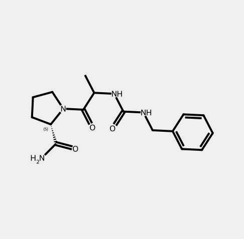 CC(NC(=O)NCc1ccccc1)C(=O)N1CCC[C@H]1C(N)=O